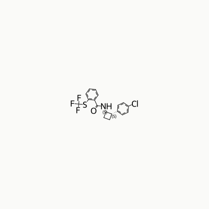 O=C(N[C@H]1CC[C@H]1c1ccc(Cl)cc1)c1ccccc1SC(F)(F)F